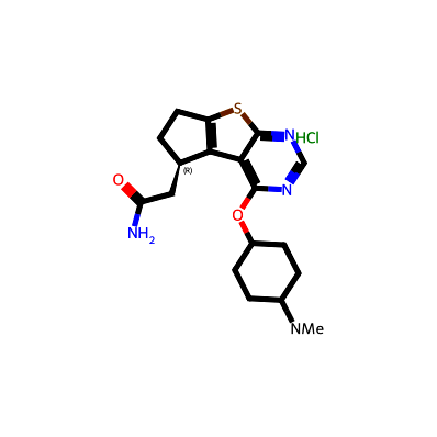 CNC1CCC(Oc2ncnc3sc4c(c23)[C@@H](CC(N)=O)CC4)CC1.Cl